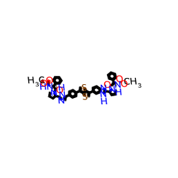 COC(=O)N[C@@H](C(=O)N1CC=CC1c1nc2ccc(-c3csc4c(-c5ccc(-c6cnc(C7CCCN7C(=O)[C@H](NC(=O)OC)c7ccccc7)[nH]6)cc5)csc34)cc2[nH]1)c1ccccc1